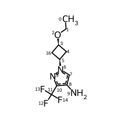 CCO[C@H]1C[C@@H](n2cc(N)c(C(F)(F)F)n2)C1